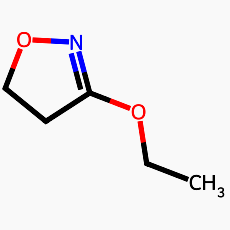 CCOC1=NOCC1